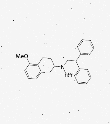 CCCN(CC(c1ccccc1)c1ccccc1)C1CCc2c(cccc2OC)C1